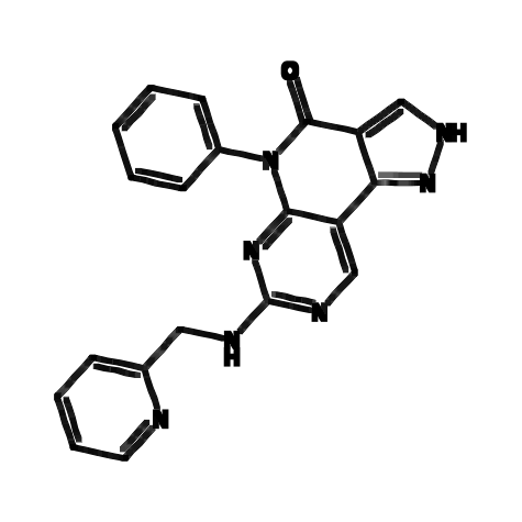 O=c1c2c[nH]nc2c2cnc(NCc3ccccn3)nc2n1-c1ccccc1